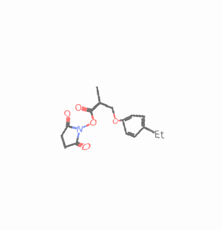 CCc1ccc(OCC(C)C(=O)ON2C(=O)CCC2=O)cc1